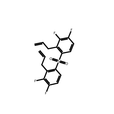 C=CCc1c(S(=O)(=O)c2ccc(F)c(F)c2CC=C)ccc(F)c1F